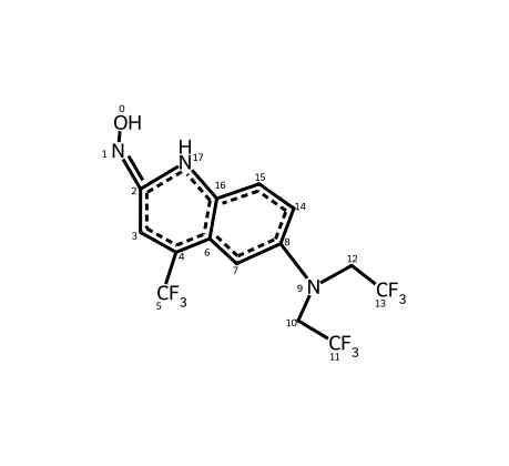 ON=c1cc(C(F)(F)F)c2cc(N(CC(F)(F)F)CC(F)(F)F)ccc2[nH]1